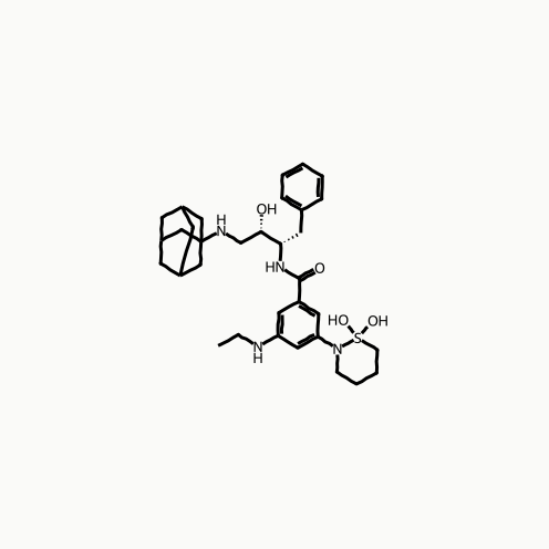 CCNc1cc(C(=O)N[C@@H](Cc2ccccc2)[C@@H](O)CNC23CC4CC(CC(C4)C2)C3)cc(N2CCCCS2(O)O)c1